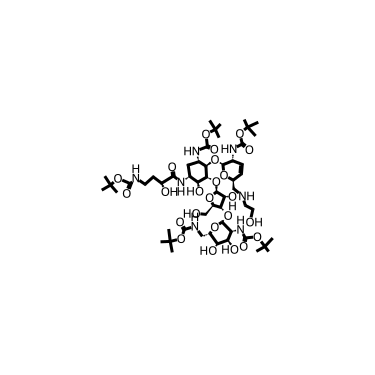 CC(C)(C)OC(=O)NCC[C@H](O)C(=O)N[C@@H]1C[C@H](NC(=O)OC(C)(C)C)[C@@H](O[C@H]2O[C@H](CNCCO)C=C[C@H]2NC(=O)OC(C)(C)C)[C@H](O[C@@H]2O[C@H](CO)[C@@H](O[C@H]3O[C@@H](CNC(=O)OC(C)(C)C)[C@@H](O)[C@H](O)[C@H]3NC(=O)OC(C)(C)C)[C@H]2O)[C@H]1O